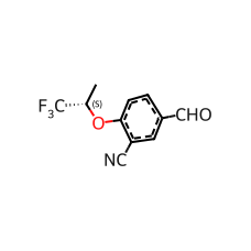 C[C@H](Oc1ccc(C=O)cc1C#N)C(F)(F)F